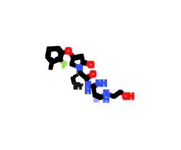 Cc1cccc(OC2=CC(=O)N([C@@H](CC(C)C)C(=O)NC(=N)/C=C\NCCO)C2)c1F